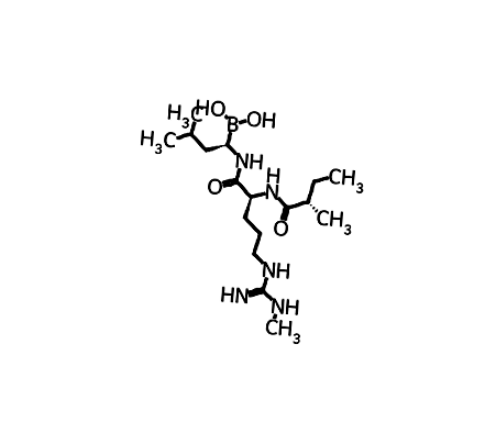 CC[C@H](C)C(=O)N[C@@H](CCCNC(=N)NC)C(=O)N[C@@H](CC(C)C)B(O)O